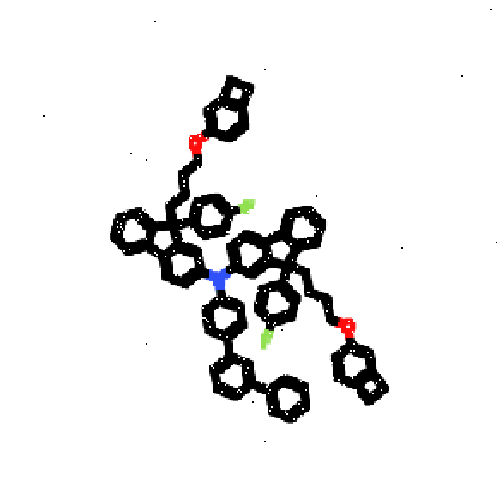 Fc1ccc(C2(CCCCOc3ccc4c(c3)CC4)c3ccccc3-c3ccc(N(c4ccc(-c5cccc(-c6ccccc6)c5)cc4)c4ccc5c(c4)C(CCCCOc4ccc6c(c4)CC6)(c4ccc(F)cc4)c4ccccc4-5)cc32)cc1